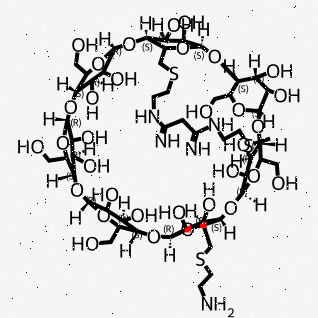 CSCCNC(=N)CC(=N)NCCSCC1O[C@@H]2O[C@@H]3C(CO)O[C@@H](O[C@@H]4C(CO)O[C@@H](O[C@@H]5C(CSCCN)O[C@@H](O[C@@H]6C(CO)O[C@H](O[C@@H]7C(CO)O[C@H](O[C@@H]8C(CO)O[C@H](O[C@H]1[C@H](O)C2O)C(O)[C@H]8O)C(O)[C@H]7O)C(O)[C@H]6O)C(O)[C@H]5O)C(O)[C@H]4O)C(O)[C@H]3O